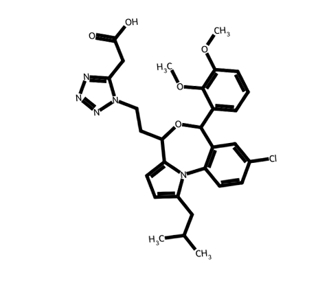 COc1cccc(C2OC(CCn3nnnc3CC(=O)O)c3ccc(CC(C)C)n3-c3ccc(Cl)cc32)c1OC